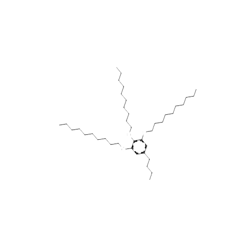 [CH2]CCCc1cc(OCCCCCCCCCC)c(OCCCCCCCCCC)c(OCCCCCCCCCC)c1